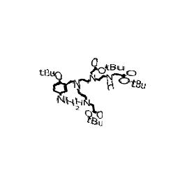 CC(C)(C)OC(=O)CNCCN(CCN(CCNCC(=O)OC(C)(C)C)CC1=CC(N)CC=C1OC(C)(C)C)CC(=O)OC(C)(C)C